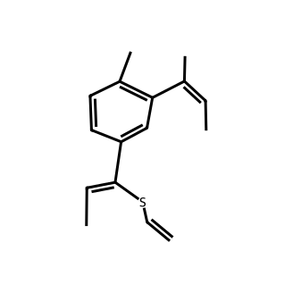 C=CS/C(=C\C)c1ccc(C)c(/C(C)=C\C)c1